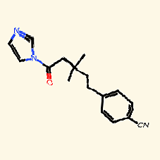 CC(C)(CCc1ccc(C#N)cc1)CC(=O)n1ccnc1